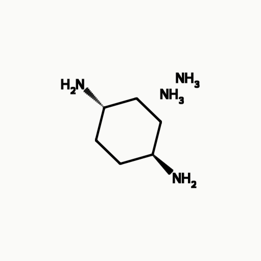 N.N.N[C@H]1CC[C@H](N)CC1